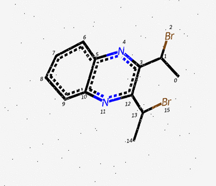 CC(Br)c1nc2ccccc2nc1C(C)Br